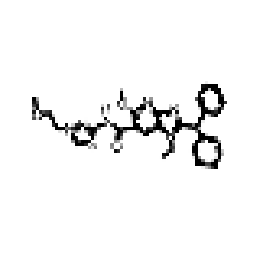 CCn1c(C(c2ccccc2)c2ccccc2)nc2nc(OC)c(C(=O)Nc3ncn(CCOC)n3)cc21